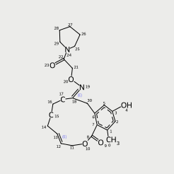 Cc1cc(O)cc2c1C(=O)OC/C=C/CCCC/C(=N\OCC(=O)N1CCCCC1)C2